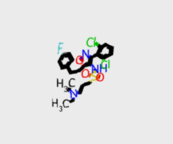 CCN(CC)CCCS(=O)(=O)Nc1c(-c2c(Cl)cccc2Cl)noc1CCc1ccc(F)cc1